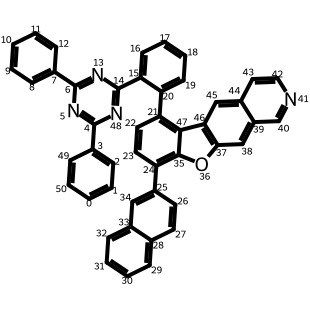 c1ccc(-c2nc(-c3ccccc3)nc(-c3ccccc3-c3ccc(-c4ccc5ccccc5c4)c4oc5cc6cnccc6cc5c34)n2)cc1